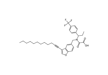 CCCCCCCCCCC#Cc1coc2ccc(CN(C(=O)C(=O)O)C(CC)c3ccc(C(F)(F)F)cc3)cc12